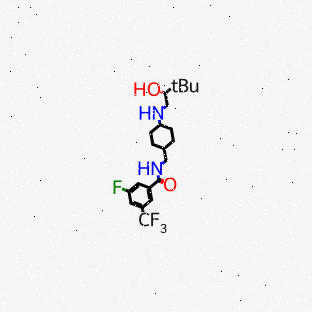 CC(C)(C)C(O)CNC1CCC(CNC(=O)c2cc(F)cc(C(F)(F)F)c2)CC1